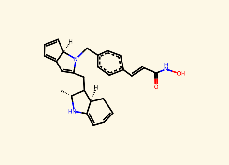 C[C@H]1NC2=CC=CC[C@@H]2C1CC1=CC2=CC=C[C@H]2N1Cc1ccc(/C=C/C(=O)NO)cc1